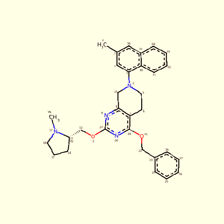 Cc1cc(N2CCc3c(nc(OC[C@@H]4CCCN4C)nc3OCc3ccccc3)C2)c2ccccc2c1